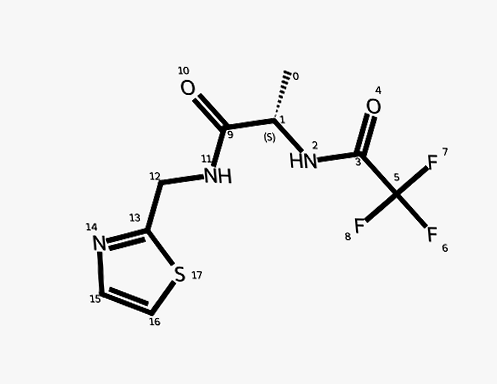 C[C@H](NC(=O)C(F)(F)F)C(=O)NCc1nccs1